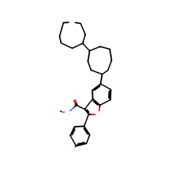 CNC(=O)c1c(-c2ccc(F)cc2)oc2ccc(C3CCCCC(C4CCCCCCC4)CC3)cc12